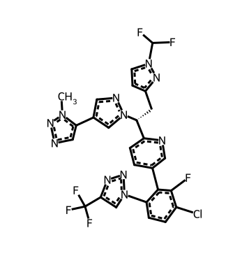 Cn1nncc1-c1cnn([C@H](Cc2ccn(C(F)F)n2)c2ccc(-c3c(-n4cc(C(F)(F)F)nn4)ccc(Cl)c3F)cn2)c1